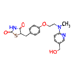 CN(CCOc1ccc(CC2SC(=O)NC2=O)cc1)c1ccc(CO)cn1